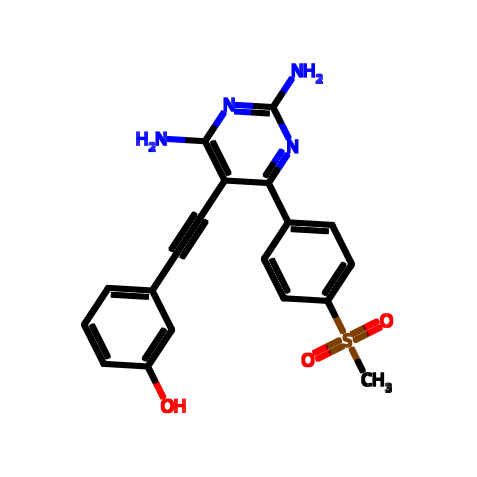 CS(=O)(=O)c1ccc(-c2nc(N)nc(N)c2C#Cc2cccc(O)c2)cc1